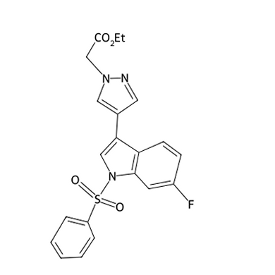 CCOC(=O)Cn1cc(-c2cn(S(=O)(=O)c3ccccc3)c3cc(F)ccc23)cn1